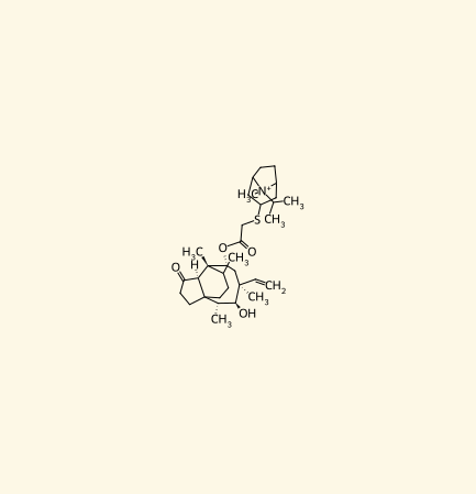 C=C[C@]1(C)C[C@@H](OC(=O)CSC2CC3CCC(C2)[N+]3(C)C(C)C)[C@]2(C)C(C)CCC3(CCC(=O)[C@H]32)[C@@H](C)[C@@H]1O